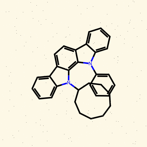 c1ccc(-n2c3ccccc3c3ccc4c5ccccc5n(C5CCCCCCCC5)c4c32)cc1